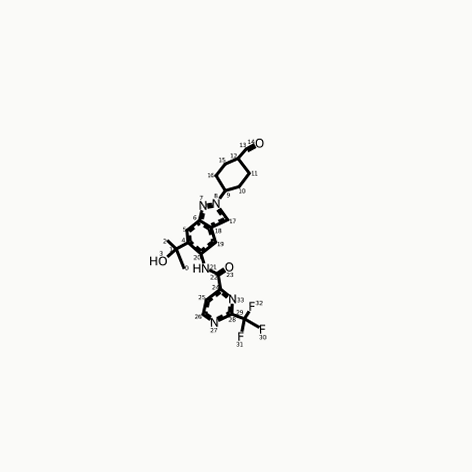 CC(C)(O)c1cc2nn(C3CCC(C=O)CC3)cc2cc1NC(=O)c1ccnc(C(F)(F)F)n1